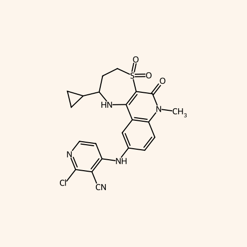 Cn1c(=O)c2c(c3cc(Nc4ccnc(Cl)c4C#N)ccc31)NC(C1CC1)CCS2(=O)=O